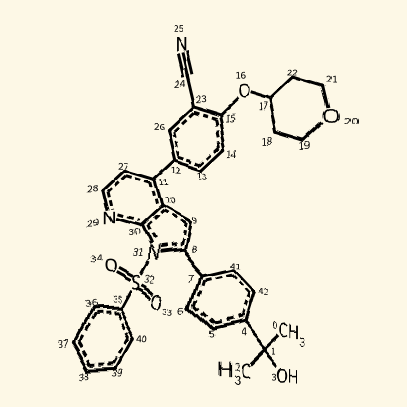 CC(C)(O)c1ccc(-c2cc3c(-c4ccc(OC5CCOCC5)c(C#N)c4)ccnc3n2S(=O)(=O)c2ccccc2)cc1